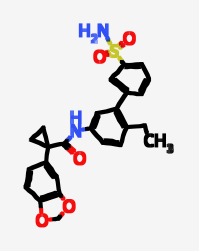 CCc1ccc(NC(=O)C2(c3ccc4c(c3)OCO4)CC2)cc1-c1cccc(S(N)(=O)=O)c1